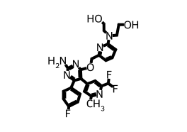 Cc1cc(-c2c(OCc3cccc(N(CCO)CCO)n3)nc(N)nc2-c2ccc(F)cc2)cc(C(F)F)n1